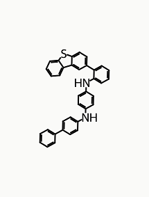 c1ccc(-c2ccc(Nc3ccc(Nc4ccccc4-c4ccc5sc6ccccc6c5c4)cc3)cc2)cc1